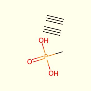 C#C.C#C.CP(=O)(O)O